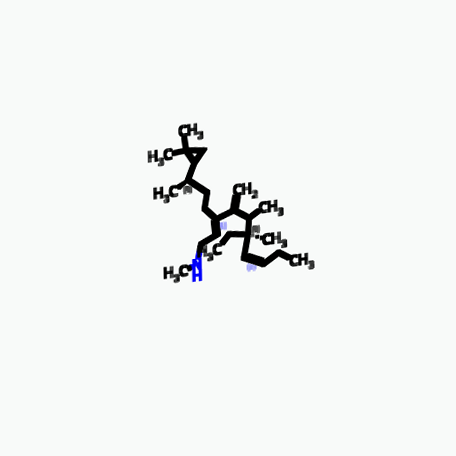 C=C(/C(=C/CNC)CC[C@@H](C)C1CC1(C)C)C(C)[C@@](C)(/C=C\CC)CC